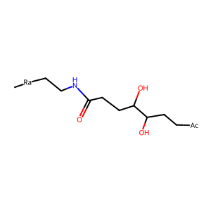 [CH3][Ra][CH2]CNC(=O)CCC(O)C(O)CCC(C)=O